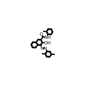 Cc1ccc(C)c(/N=N/c2c(O)c(C(=O)Nc3ccccc3C)cc3ccccc23)c1